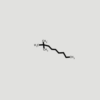 [CH2]C(C)(C)CCCCCCC